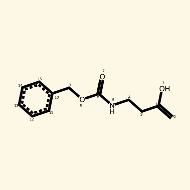 C=C(O)CCNC(=O)OCc1ccccc1